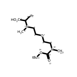 CC(C)C(C(=O)O)N(C)CCOCCN(C)C(=O)OC(C)(C)C